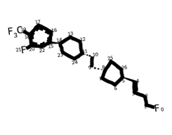 FCCC=C[C@H]1CC[C@H](CC[C@H]2CC[C@H](c3ccc(C(F)(F)F)c(F)c3)CC2)CC1